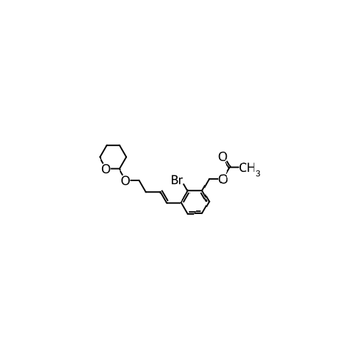 CC(=O)OCc1cccc(/C=C/CCOC2CCCCO2)c1Br